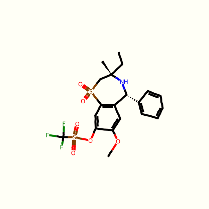 CC[C@@]1(C)CS(=O)(=O)c2cc(OS(=O)(=O)C(F)(F)F)c(OC)cc2[C@@H](c2ccccc2)N1